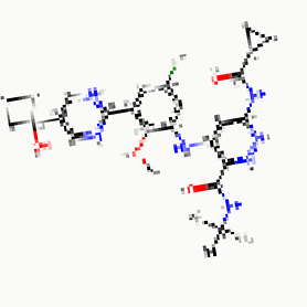 [2H]C([2H])([2H])NC(=O)c1nnc(NC(=O)C2CC2)cc1Nc1cc(F)cc(-c2ncc(C3(O)CCC3)cn2)c1OC